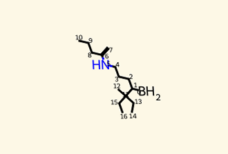 BC(CCCNC(=C)CCC)C(C)(CC)CC